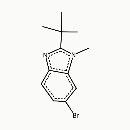 Cn1c(C(C)(C)C)nc2ccc(Br)cc21